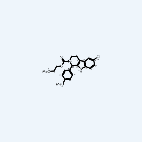 COCCSC(=S)N1CCc2c([nH]c3ccc(Cl)cc23)C1c1ccc(OC)cc1